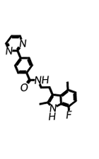 Cc1[nH]c2c(F)ccc(C)c2c1CCNC(=O)c1ccc(-c2ncccn2)cc1